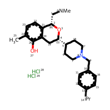 CNC[C@@H]1O[C@H](C2CCN(Cc3ccc(C(C)C)cc3)CC2)Cc2c1ccc(C)c2O.Cl.Cl